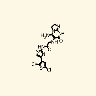 CN1C(=O)C(NCC(=O)Nc2nc(-c3cc(Cl)sc3Cl)cs2)=C(N)N2CCN=C12